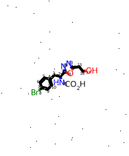 O=C(O)NC(Cc1ccc(Br)cc1)c1nnc(CCO)o1